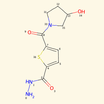 NNC(=O)c1ccc(C(=O)N2CCC(O)C2)s1